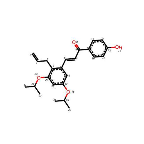 C=CCc1c(C=CC(=O)c2ccc(O)cc2)cc(OC(C)C)cc1OC(C)C